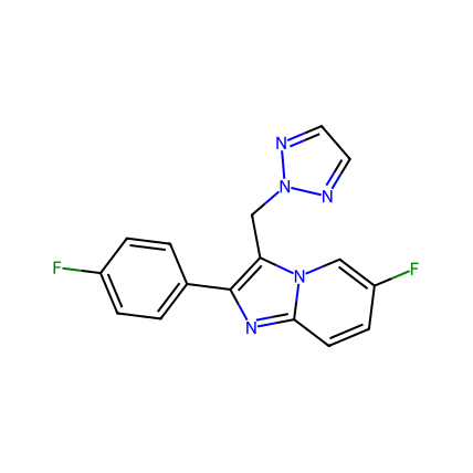 Fc1ccc(-c2nc3ccc(F)cn3c2Cn2nccn2)cc1